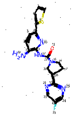 Nc1ccc(-c2cccs2)nc1NC(=O)N1CCC(c2ncc(F)cn2)C1